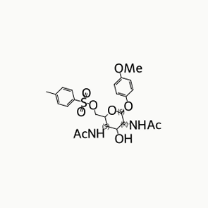 COc1ccc(O[C@@H]2OC(COS(=O)(=O)c3ccc(C)cc3)[C@@H](NC(C)=O)C(O)[C@H]2NC(C)=O)cc1